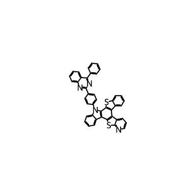 c1ccc(-c2nc(-c3ccc(-n4c5ccccc5c5c6sc7ncccc7c6c6c7ccccc7sc6c54)cc3)nc3ccccc23)cc1